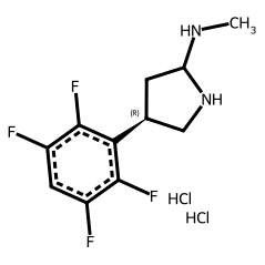 CNC1C[C@H](c2c(F)c(F)cc(F)c2F)CN1.Cl.Cl